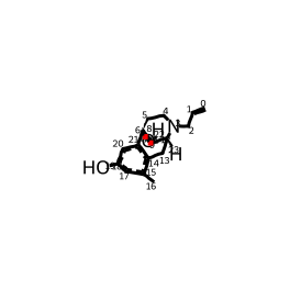 C=CCN1CC[C@]23CCCO[C@H]2[C@H]1Cc1c(C)cc(O)cc13